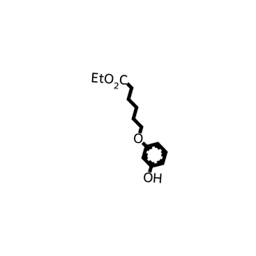 CCOC(=O)CCCCCOc1cccc(O)c1